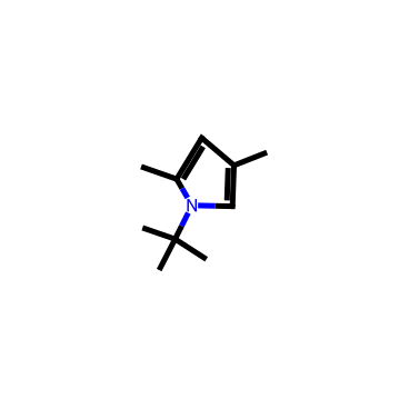 Cc1cc(C)n(C(C)(C)C)c1